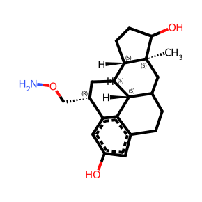 C[C@]12CC3CCc4cc(O)cc5c4[C@@H]3[C@@H](C[C@H]5CON)[C@@H]1CCC2O